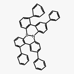 c1ccc(-c2ccc3c(c2)-c2c(cccc2-c2ccccc2)B2c4cccc(-c5ccccc5)c4-c4cc(-c5ccccc5)ccc4N23)cc1